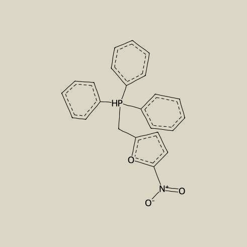 O=[N+]([O-])c1ccc(C[PH](c2ccccc2)(c2ccccc2)c2ccccc2)o1